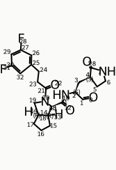 O=C[C@H](C[C@@H]1CCNC1=O)NC(=O)[C@H]1[C@@H]2CCC[C@H]2CN1C(=O)CCc1cc(F)cc(F)c1